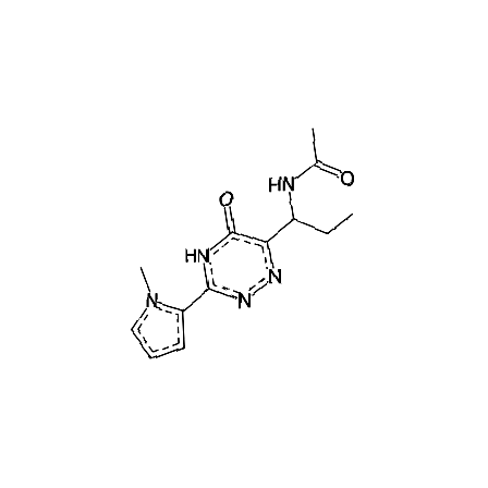 CCC(NC(C)=O)c1nnc(-c2cccn2C)[nH]c1=O